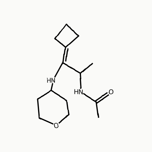 CC(=O)NC(C)C(NC1CCOCC1)=C1CCC1